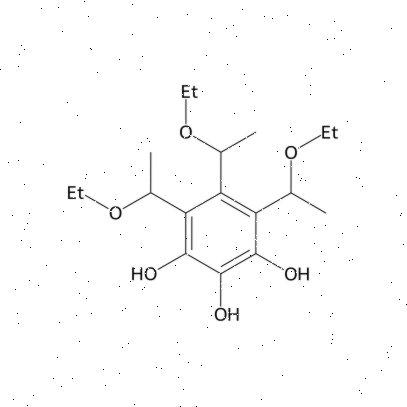 CCOC(C)c1c(O)c(O)c(O)c(C(C)OCC)c1C(C)OCC